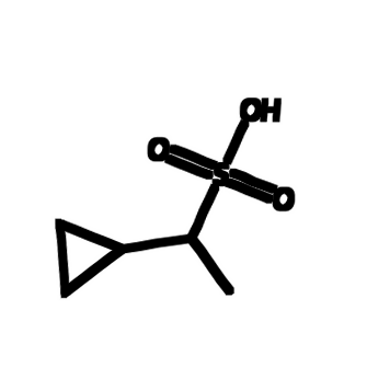 CC(C1CC1)S(=O)(=O)O